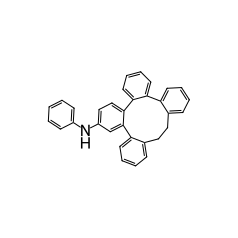 c1ccc(Nc2ccc3c(c2)-c2ccccc2CCc2ccccc2-c2ccccc2-3)cc1